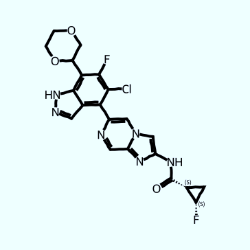 O=C(Nc1cn2cc(-c3c(Cl)c(F)c(C4COCCO4)c4[nH]ncc34)ncc2n1)[C@@H]1C[C@@H]1F